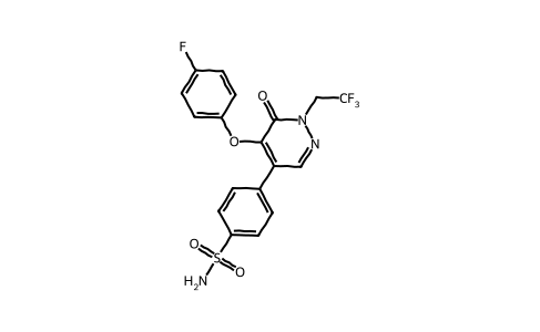 NS(=O)(=O)c1ccc(-c2cnn(CC(F)(F)F)c(=O)c2Oc2ccc(F)cc2)cc1